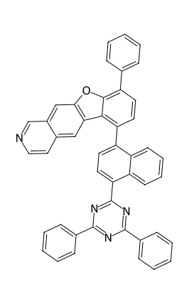 c1ccc(-c2nc(-c3ccccc3)nc(-c3ccc(-c4ccc(-c5ccccc5)c5oc6cc7cnccc7cc6c45)c4ccccc34)n2)cc1